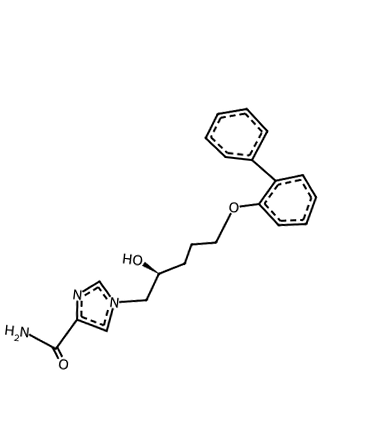 NC(=O)c1cn(C[C@@H](O)CCCOc2ccccc2-c2ccccc2)cn1